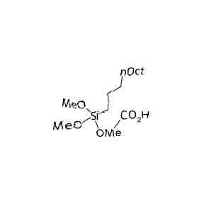 CC(=O)O.CCCCCCCCCCC[Si](OC)(OC)OC